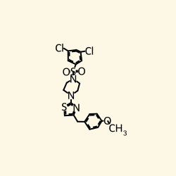 COc1ccc(Cc2csc(N3CCN(S(=O)(=O)c4cc(Cl)cc(Cl)c4)CC3)n2)cc1